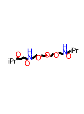 CC(C)C(=O)CCC(=O)NCCOCCOCCOCCNC(=O)C(C)C